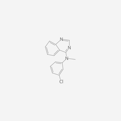 CN(c1cccc(Cl)c1)c1ncnc2ccccc12